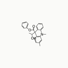 Cc1ccc2c(c1)N(C)c1ccccc1C2(C(=O)Oc1ccccc1)C(C)O